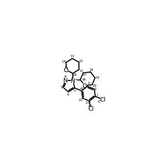 Clc1ccc(C2=CC=N[N+]2(C2CCCCO2)C2CCCCO2)cc1Cl